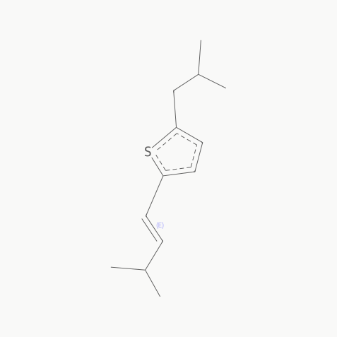 CC(C)/C=C/c1ccc(CC(C)C)s1